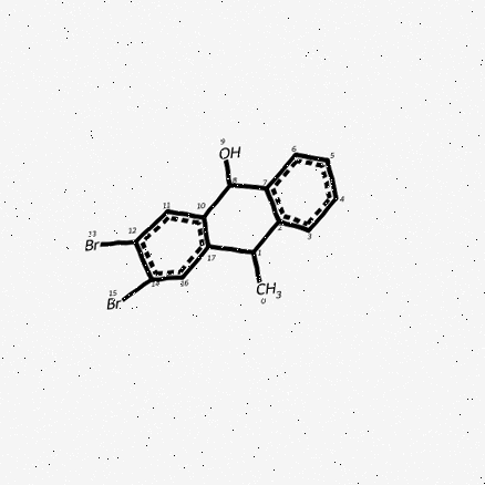 CC1c2ccccc2C(O)c2cc(Br)c(Br)cc21